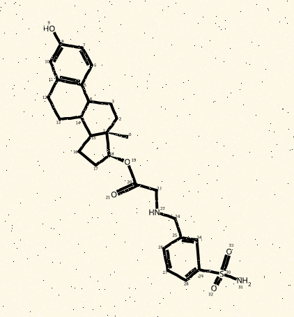 C[C@]12CCC3c4ccc(O)cc4CCC3C1CC[C@@H]2OC(=O)CNCc1cccc(S(N)(=O)=O)c1